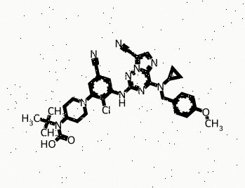 COc1ccc(CN(c2nc(Nc3cc(C#N)cc(N4CCC(N(C(=O)O)C(C)(C)C)CC4)c3Cl)nn3c(C#N)cnc23)C2CC2)cc1